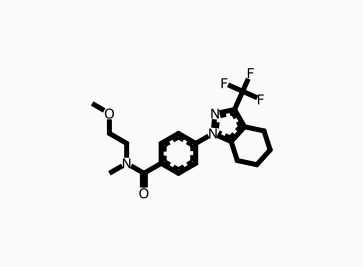 COCCN(C)C(=O)c1ccc(-n2nc(C(F)(F)F)c3c2CCCC3)cc1